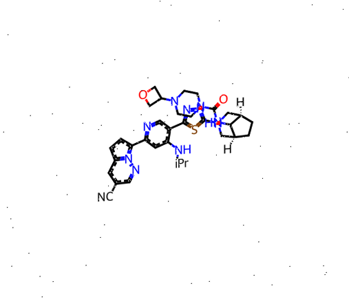 CC(C)Nc1cc(-c2ccc3cc(C#N)cnn23)ncc1-c1nnc(N2C[C@H]3CC[C@@H](C2)C3NC(=O)N2CCN(C3COC3)CC2)s1